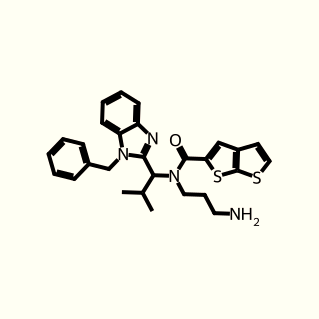 CC(C)C(c1nc2ccccc2n1Cc1ccccc1)N(CCCN)C(=O)c1cc2ccsc2s1